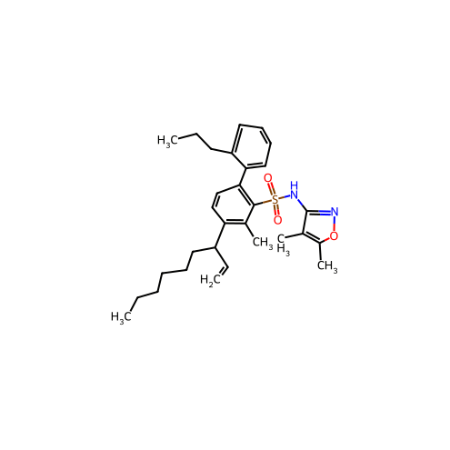 C=CC(CCCCCC)c1ccc(-c2ccccc2CCC)c(S(=O)(=O)Nc2noc(C)c2C)c1C